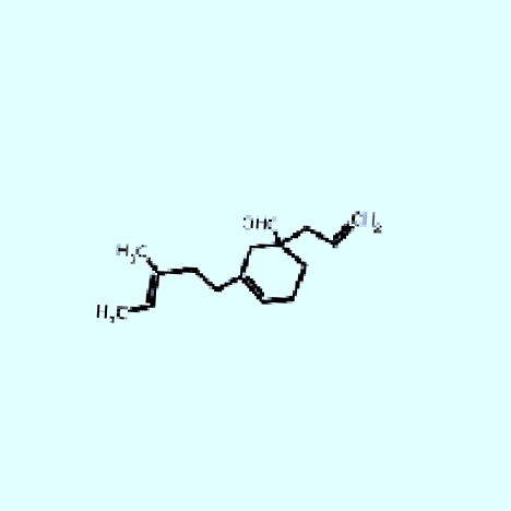 C=CCC1(C=O)CCC=C(CCC(C)=CC)C1